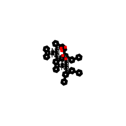 c1ccc(-c2ccc3c(c2)c2cc(-c4ccccc4)ccc2n3-c2nc(-n3c4ccc(-c5ccccc5)cc4c4cc(-c5ccccc5)ccc43)nc(-n3c4ccccc4c4ccc5c(c6ccccc6n5-c5nc(-n6c7ccccc7c7ccccc76)nc(-n6c7ccccc7c7ccccc76)n5)c43)n2)cc1